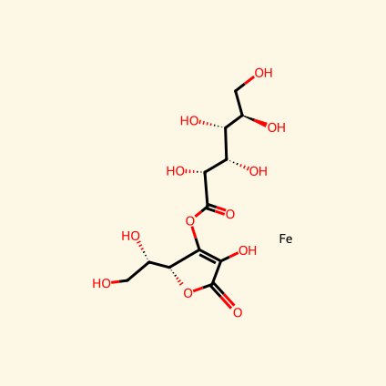 O=C1O[C@H]([C@@H](O)CO)C(OC(=O)[C@H](O)[C@@H](O)[C@H](O)[C@H](O)CO)=C1O.[Fe]